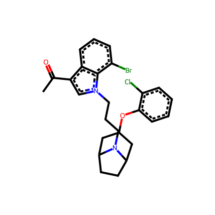 CC(=O)c1cn(CCCN2C3CCC2CC(Oc2ccccc2Cl)C3)c2c(Br)cccc12